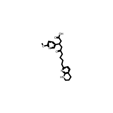 COc1ccc(C(CC(=O)O)CC(=O)CCCCc2ccc3c(n2)NCCC3)cn1